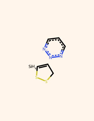 C1=CSSC1.[SiH4].c1cnnnc1